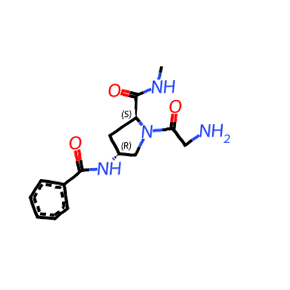 CNC(=O)[C@@H]1C[C@@H](NC(=O)c2ccccc2)CN1C(=O)CN